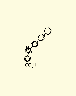 O=C(O)c1ccc(-c2nnc(-c3ccc(N4CCN(C5CCCCCC5)CC4)cc3)s2)cc1